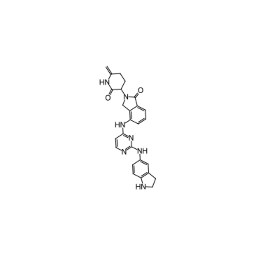 C=C1CCC(N2Cc3c(Nc4ccnc(Nc5ccc6c(c5)CCN6)n4)cccc3C2=O)C(=O)N1